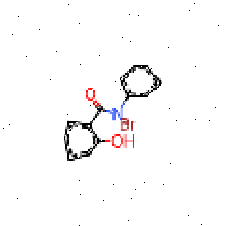 O=C(c1ccccc1O)N(Br)c1ccccc1